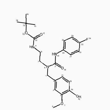 COc1cc(CN(CCNC(=O)OC(C)(C)C)C(=O)Nc2ccc(F)cc2)ccc1O